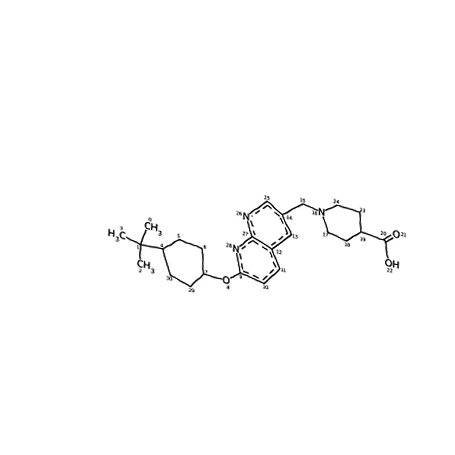 CC(C)(C)C1CCC(Oc2ccc3cc(CN4CCC(C(=O)O)CC4)cnc3n2)CC1